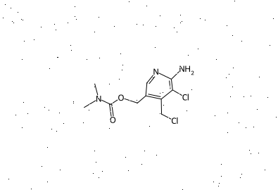 CN(C)C(=O)OCc1cnc(N)c(Cl)c1CCl